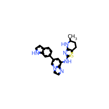 CC1CCc2sc(Nc3cc(-c4ccc5cc[nH]c5c4)cn4ccnc34)nc2N1